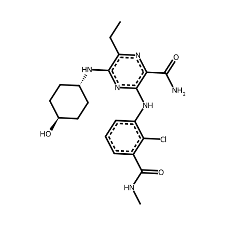 CCc1nc(C(N)=O)c(Nc2cccc(C(=O)NC)c2Cl)nc1N[C@H]1CC[C@H](O)CC1